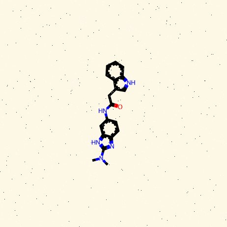 CN(C)c1nc2ccc(NC(=O)Cc3c[nH]c4ccccc34)cc2[nH]1